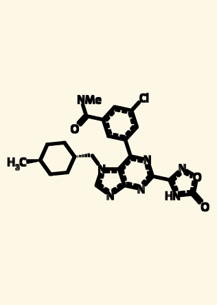 CNC(=O)c1cc(Cl)cc(-c2nc(-c3noc(=O)[nH]3)nc3ncn(C[C@H]4CC[C@H](C)CC4)c23)c1